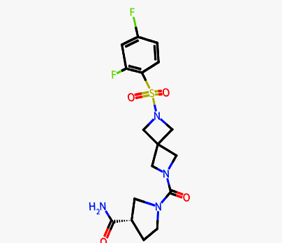 NC(=O)[C@H]1CCN(C(=O)N2CC3(C2)CN(S(=O)(=O)c2ccc(F)cc2F)C3)C1